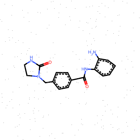 Nc1ccccc1NC(=O)c1ccc(CN2CCNC2=O)cc1